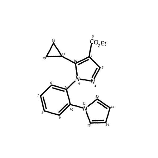 CCOC(=O)c1cnn(-c2ccccc2-n2cccc2)c1C1CC1